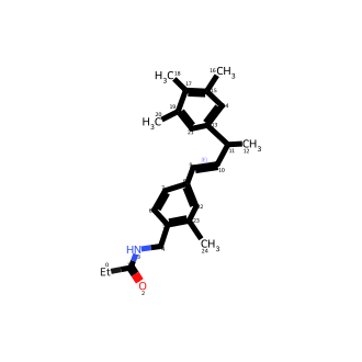 CCC(=O)NCc1ccc(/C=C/C(C)c2cc(C)c(C)c(C)c2)cc1C